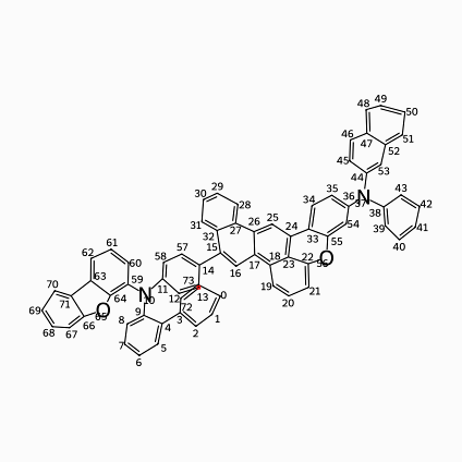 c1ccc(-c2ccccc2N(c2ccc(-c3cc4c5cccc6c5c(cc4c4ccccc34)-c3ccc(N(c4ccccc4)c4ccc5ccccc5c4)cc3O6)cc2)c2cccc3c2oc2ccccc23)cc1